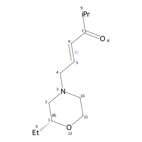 CC[C@@H]1CN(C/C=C/C(=O)C(C)C)CCO1